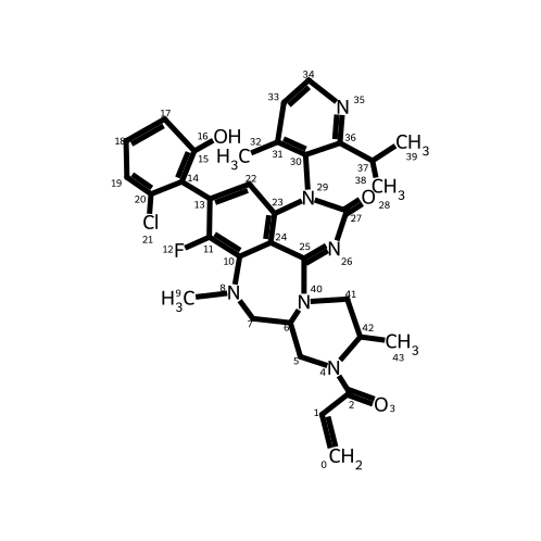 C=CC(=O)N1CC2CN(C)c3c(F)c(-c4c(O)cccc4Cl)cc4c3c(nc(=O)n4-c3c(C)ccnc3C(C)C)N2CC1C